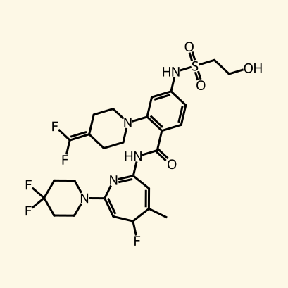 CC1=CC(NC(=O)c2ccc(NS(=O)(=O)CCO)cc2N2CCC(=C(F)F)CC2)=NC(N2CCC(F)(F)CC2)=CC1F